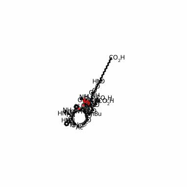 CCCC[C@H](NC(=O)[C@H](CNC(=O)CN(CC(=O)O)CC(=O)O)NC(=O)[C@H](CC1=CCC=N1)NC(=O)[C@H](CCC(N)=O)NC(=O)[C@H](CO)NC(=O)CNC(=O)COCCOCCNC(=O)CCCCCCCCCCCCCCC(=O)O)C(=O)N[C@H]1CCC(=O)CCCCC[C@@H](C(C)=O)NC(=O)[C@H](Cc2c[nH]c3ccccc23)NC(=O)[C@H](CCCNC(=N)N)NC(=O)[C@@H](Cc2ccccc2)NC(=O)[C@@H]2C[C@@H](O)CN2C1=O